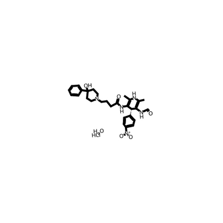 CC1=C(NC=O)[C@H](c2ccc([N+](=O)[O-])cc2)C(NC(=O)CCCN2CCC(O)(c3ccccc3)CC2)=C(C)N1.Cl.O